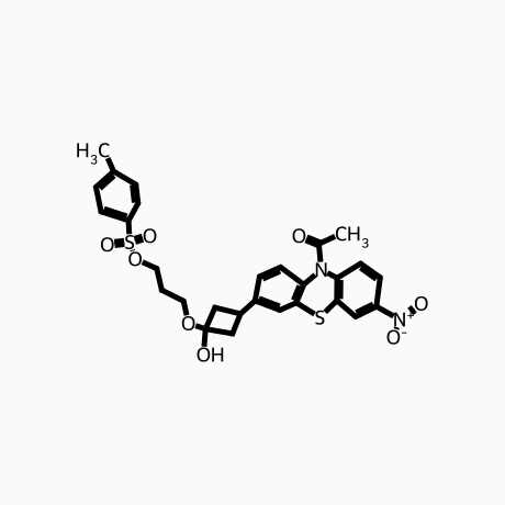 CC(=O)N1c2ccc(C3CC(O)(OCCCOS(=O)(=O)c4ccc(C)cc4)C3)cc2Sc2cc([N+](=O)[O-])ccc21